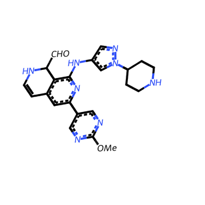 COc1ncc(-c2cc3c(c(Nc4cnn(C5CCNCC5)c4)n2)C(C=O)NC=C3)cn1